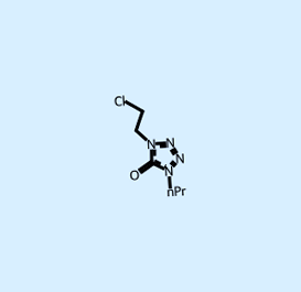 CCCn1nnn(CCCl)c1=O